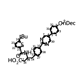 CCCCCCCCCCOc1ccc(-c2cnc(-c3ccc(C[C@@H](CC(=O)O)NC(=O)c4ccc(C(C)(C)C)s4)cc3)nc2)cc1